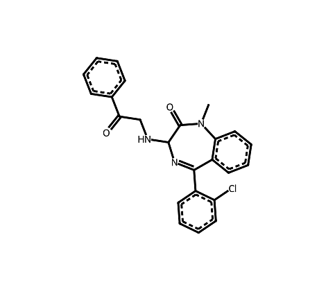 CN1C(=O)C(NCC(=O)c2ccccc2)N=C(c2ccccc2Cl)c2ccccc21